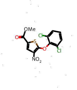 COC(=O)c1cc([N+](=O)[O-])c(Oc2c(Cl)cccc2Cl)s1